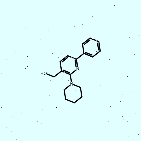 OCc1ccc(-c2ccccc2)nc1N1CCCCC1